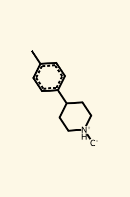 [CH2-][NH+]1CCC(c2ccc(C)cc2)CC1